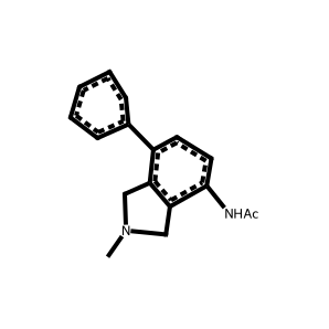 CC(=O)Nc1ccc(-c2ccccc2)c2c1CN(C)C2